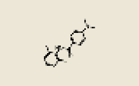 Cc1cccc(C)c1NC(=O)c1ccc(N(C)C)cc1